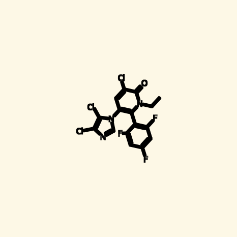 CCn1c(-c2c(F)cc(F)cc2F)c(-n2cnc(Cl)c2Cl)cc(Cl)c1=O